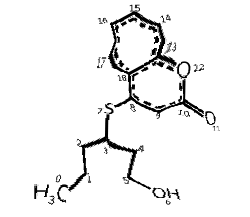 CCCC(CCO)Sc1cc(=O)oc2ccccc12